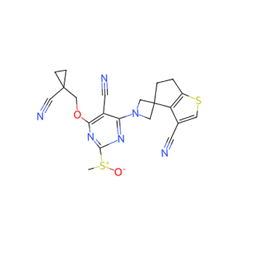 C[S+]([O-])c1nc(OCC2(C#N)CC2)c(C#N)c(N2CC3(CCc4scc(C#N)c43)C2)n1